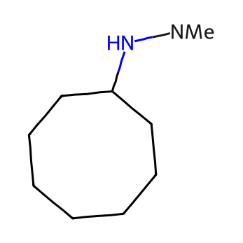 CNNC1CCCCCCC1